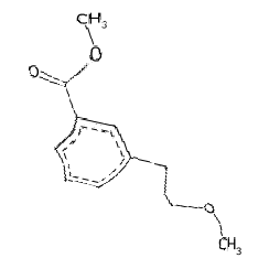 COCCc1cccc(C(=O)OC)c1